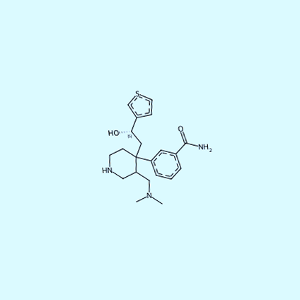 CN(C)CC1CNCCC1(C[C@H](O)c1ccsc1)c1cccc(C(N)=O)c1